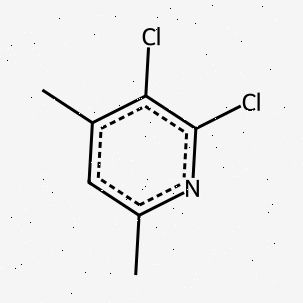 Cc1cc(C)c(Cl)c(Cl)n1